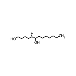 CCCCCCCC(O)NCCCCO